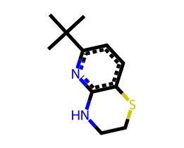 CC(C)(C)c1ccc2c(n1)NCCS2